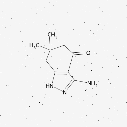 CC1(C)CC(=O)c2c(N)n[nH]c2C1